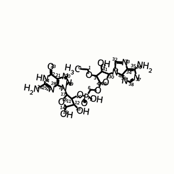 CCOC1C(OCP(=O)(O)OC2C(O)C(O)OC2n2nnc3c(=O)[nH]c(N)nc32)OC(n2cnc3c(N)ncnc32)C1O